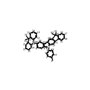 Cc1ccc(-n2c3ccc(N4c5ccccc5C(C)(C)c5ccccc54)cc3c3cc4c(cc32)-c2ccccc2C4(C)C)cc1